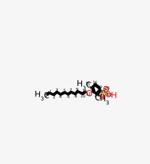 CCCCCCCCCCCCOc1c(C)ccc(S(=O)(=O)O)c1C